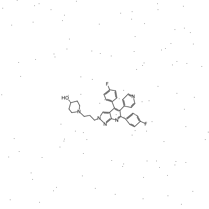 OC1CCN(CCCn2cc3c(-c4ccc(F)cc4)c(-c4ccncc4)c(-c4ccc(F)cc4)nc3n2)CC1